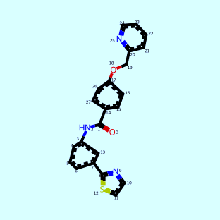 O=C(Nc1cccc(-c2nccs2)c1)c1ccc(OCc2ccccn2)cc1